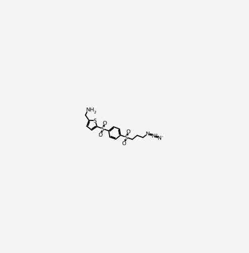 [N-]=[N+]=NCCCS(=O)(=O)c1ccc(S(=O)(=O)c2ccc(CN)s2)cc1